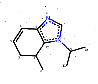 CC1CC=Cc2ncn(C(C)C)c21